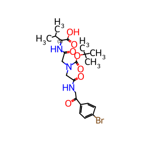 CC(C)[C@H](NC(=O)CN(CC(=O)NCC(=O)c1ccc(Br)cc1)C(=O)OC(C)(C)C)C(=O)O